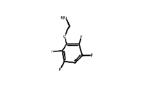 CC(C)(C)COc1c(F)c(F)cc(F)c1F